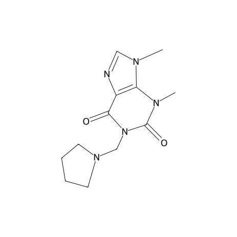 Cn1cnc2c(=O)n(CN3CCCC3)c(=O)n(C)c21